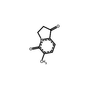 Cc1ccc2n(c1=O)CCC2=O